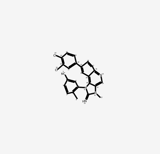 Cc1ccc(C#N)cc1-n1c(=N)n(C)c2cnc3ccc(-c4ccc(Cl)c(Cl)c4)cc3c21